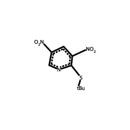 CC(C)(C)Sc1ncc([N+](=O)[O-])cc1[N+](=O)[O-]